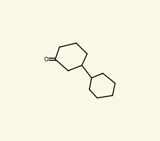 O=C1CCCC(C2CCCCC2)C1